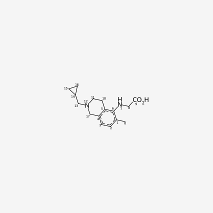 Cc1ccc2c(c1NCC(=O)O)CCN(CC1CC1)C2